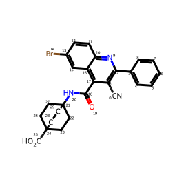 N#Cc1c(-c2ccccc2)nc2ccc(Br)cc2c1C(=O)NC12CCC(C(=O)O)(CC1)CC2